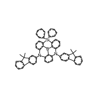 CC1(C)c2ccccc2-c2ccc(N3c4cccc5c4B4c6c3cccc6[Si](c3ccccc3)(c3ccccc3)c3cccc(c34)N5c3ccc4c(c3)C(C)(C)c3ccccc3-4)cc21